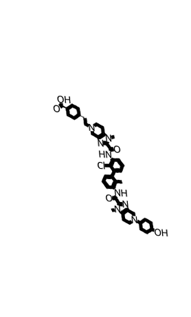 Cc1c(NC(=O)c2nc3c(n2C)CCN(C2CCC(O)CC2)C3)cccc1-c1cccc(NC(=O)c2nc3c(n2C)CCN(CC[C@H]2CC[C@H](C(=O)O)CC2)C3)c1Cl